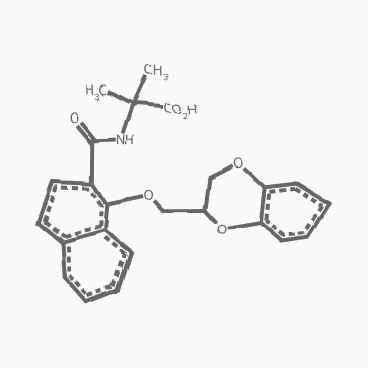 CC(C)(NC(=O)c1ccc2ccccc2c1OCC1COc2ccccc2O1)C(=O)O